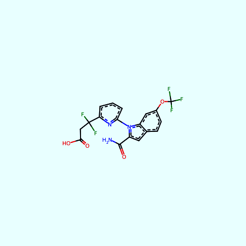 NC(=O)c1cc2ccc(OC(F)(F)F)cc2n1-c1cccc(C(F)(F)CC(=O)O)n1